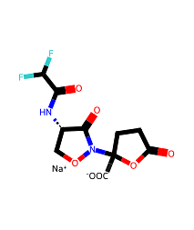 O=C1CCC(C(=O)[O-])(N2OC[C@H](NC(=O)C(F)F)C2=O)O1.[Na+]